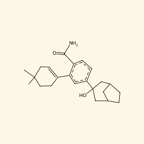 CC1(C)CC=C(c2cc(C3(O)CC4CCC(C4)C3)ccc2C(N)=O)CC1